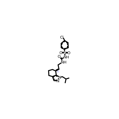 CC(C)Cn1ncc2c1/C(=C/CNC(=O)NS(=O)(=O)c1ccc(Cl)cc1)CCC2